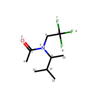 CC(=O)N(CC(F)(F)F)C(C)C(C)C